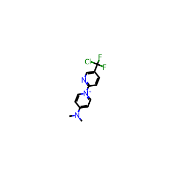 CN(C)c1cc[n+](-c2ccc(C(F)(F)Cl)cn2)cc1